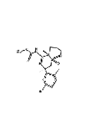 CC(C)(C)OC(=O)NC1=N[C@](C)(c2nc(Br)ccc2F)C[S@]2(=O)=NCCC[C@@]12C